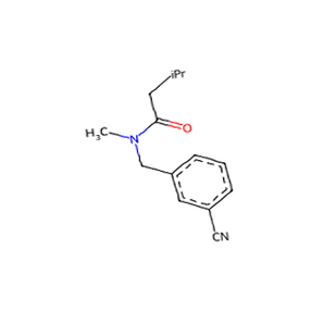 CC(C)CC(=O)N(C)Cc1cccc(C#N)c1